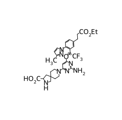 CCOC(=O)CCc1ccc(-n2ccc(C)n2)c([C@@H](Oc2cc(N3CCC4(CC3)CNC(C(=O)O)C4)nc(N)n2)C(F)(F)F)c1